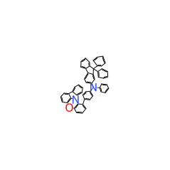 c1ccc(N(c2ccc(-c3cccc4c3-n3c5ccccc5c5cccc(c53)O4)cc2)c2ccc3c(c2)C(c2ccccc2)(c2ccccc2)c2ccccc2-3)cc1